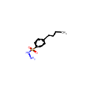 CCCCc1ccc(S(=O)(=O)NN)cc1